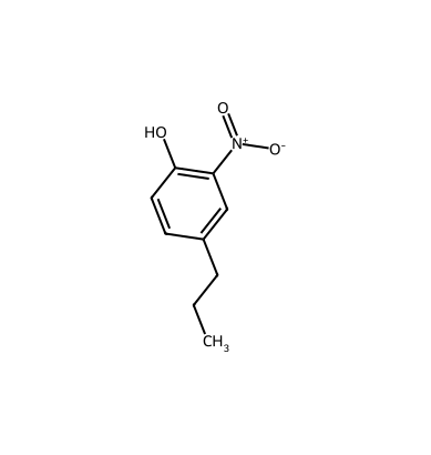 CCCc1ccc(O)c([N+](=O)[O-])c1